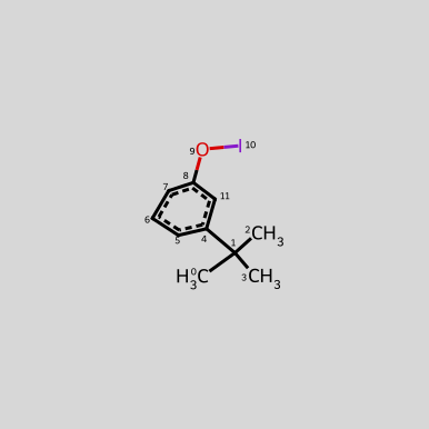 CC(C)(C)c1cccc(OI)c1